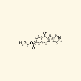 CCOC(=O)c1ccc2c(c1)CCC(Cc1cccnc1)C2=O